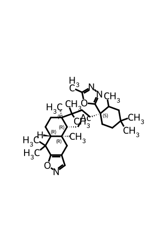 CC(=O)C[C@@H]1[C@@]2(C)Cc3cnoc3C(C)(C)[C@@H]2CC[C@@]1(C)C(C)(C)CC[C@@]1(c2nnc(C)o2)CCC(C)(C)CC1C